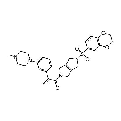 C[C@H](C(=O)N1CC2=C(C1)CN(S(=O)(=O)c1ccc3c(c1)OCCO3)C2)c1cccc(N2CCN(C)CC2)c1